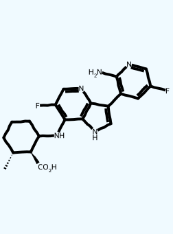 C[C@@H]1CCCC(Nc2c(F)cnc3c(-c4cc(F)cnc4N)c[nH]c23)[C@H]1C(=O)O